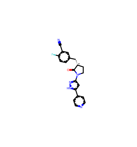 N#Cc1cc(C[C@@H]2CCN(c3cc(-c4ccncc4)[nH]n3)C2=O)ccc1F